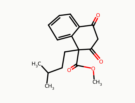 COC(=O)C1(CCC(C)C)C(=O)CC(=O)c2ccccc21